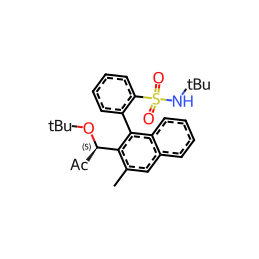 CC(=O)[C@@H](OC(C)(C)C)c1c(C)cc2ccccc2c1-c1ccccc1S(=O)(=O)NC(C)(C)C